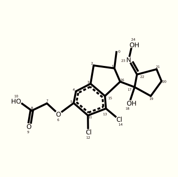 CC1Cc2cc(OCC(=O)O)c(Cl)c(Cl)c2C1C1(O)CCCC1=NO